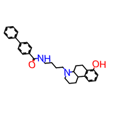 O=C(NCCCCN1CCCC2c3cccc(O)c3CCC21)c1ccc(-c2ccccc2)cc1